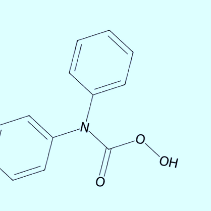 O=C(OO)N(c1ccccc1)c1ccccc1